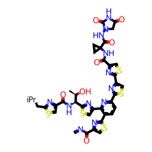 C=NC(=O)c1csc(-c2ccc(-c3nc(-c4nc(C(=O)NC5(C(=O)NN6CC(=O)NC6=O)CC5)cs4)cs3)nc2-c2csc([C@@H](NC(=O)c3csc(CC(C)C)n3)[C@@H](C)O)n2)n1